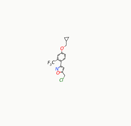 FC(F)(F)c1cc(OCC2CC2)ccc1-c1cc(CCl)on1